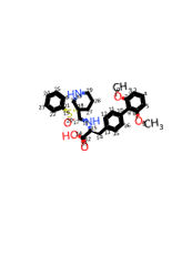 COc1cccc(OC)c1-c1ccc(C[C@H](NCC2([S+]([O-])c3ccccc3)CCCNC2)C(=O)O)cc1